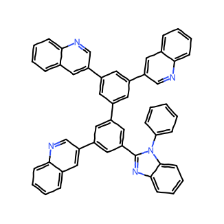 c1ccc(-n2c(-c3cc(-c4cc(-c5cnc6ccccc6c5)cc(-c5cnc6ccccc6c5)c4)cc(-c4cnc5ccccc5c4)c3)nc3ccccc32)cc1